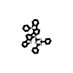 c1ccc(-c2nc(-c3ccccc3)nc(-n3c4ccc5c6ccccc6n(-c6ccccc6)c5c4c4ccc5c6ccccc6oc5c43)n2)cc1